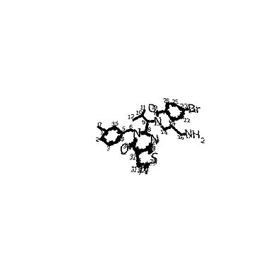 Cc1cccc(Cn2c(C(C(C)C)N(CCCN)C(=O)c3ccc(Br)cc3)nc3sncc3c2=O)c1